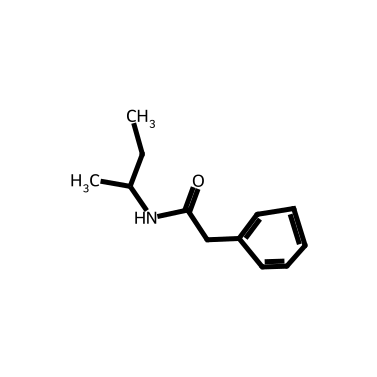 CCC(C)NC(=O)Cc1ccccc1